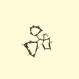 NC1(N(c2ccccc2)c2ccccc2)C=CC=CC1